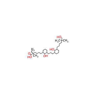 CC(C)(CO)CCCCC1CCCC(CCCC2CCCC(CCCCC(C)(C)C(=O)O)C2O)C1O